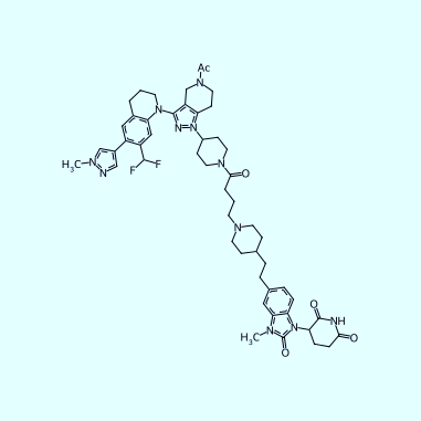 CC(=O)N1CCc2c(c(N3CCCc4cc(-c5cnn(C)c5)c(C(F)F)cc43)nn2C2CCN(C(=O)CCCN3CCC(CCc4ccc5c(c4)n(C)c(=O)n5C4CCC(=O)NC4=O)CC3)CC2)C1